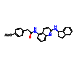 COc1ccc(CC(=O)Nc2cccc3nc(N[C@@H]4CCc5ccccc54)ccc23)cc1